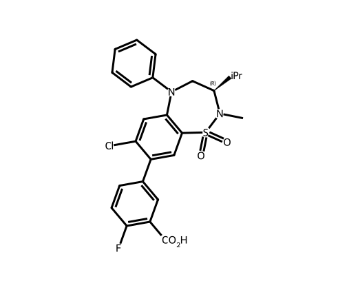 CC(C)[C@@H]1CN(c2ccccc2)c2cc(Cl)c(-c3ccc(F)c(C(=O)O)c3)cc2S(=O)(=O)N1C